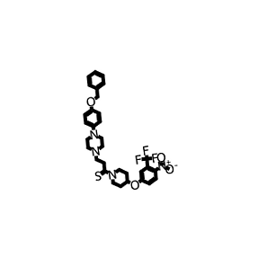 O=[N+]([O-])c1ccc(OC2CCN(C(=S)CCN3CCN(c4ccc(OCc5ccccc5)cc4)CC3)CC2)cc1C(F)(F)F